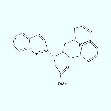 COC(=O)CC(c1ccc2ccccc2n1)N(Cc1ccccc1)Cc1ccccc1